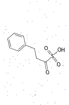 O=C(CCc1ccccc1)S(=O)(=O)O